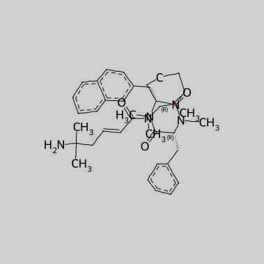 CN1CCCCC1N(C)C(=O)[C@@H](Cc1ccccc1)N(C)C(=O)[C@@H](Cc1ccc2ccccc2c1)N(C)C(=O)C=CCC(C)(C)N